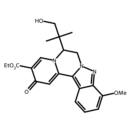 CCOC(=O)c1cn2c(cc1=O)-c1c3cccc(OC)c3nn1CC2C(C)(C)CO